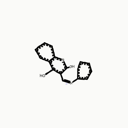 Oc1nc2ccccc2c(O)c1/C=N\c1ccccc1